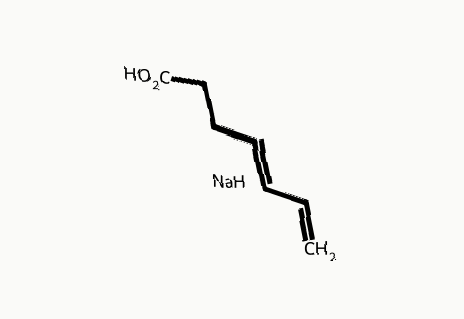 C=CC=CCCC(=O)O.[NaH]